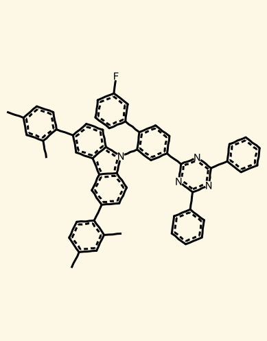 Cc1ccc(-c2ccc3c(c2)c2cc(-c4ccc(C)cc4C)ccc2n3-c2cc(-c3nc(-c4ccccc4)nc(-c4ccccc4)n3)ccc2-c2cccc(F)c2)c(C)c1